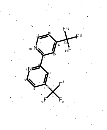 FC(F)(F)c1ccnc(-c2cc(C(F)(F)F)ccn2)c1